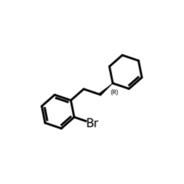 Brc1ccccc1CC[C@@H]1C=CCCC1